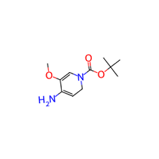 COC1=CN(C(=O)OC(C)(C)C)CC=C1N